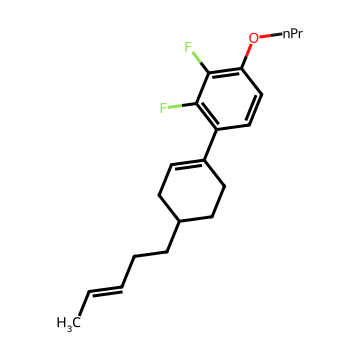 C/C=C/CCC1CC=C(c2ccc(OCCC)c(F)c2F)CC1